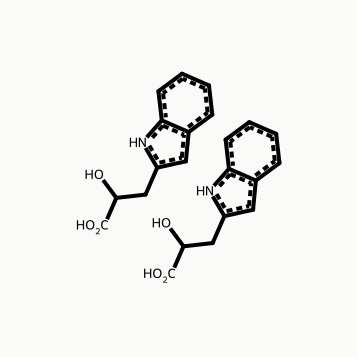 O=C(O)C(O)Cc1cc2ccccc2[nH]1.O=C(O)C(O)Cc1cc2ccccc2[nH]1